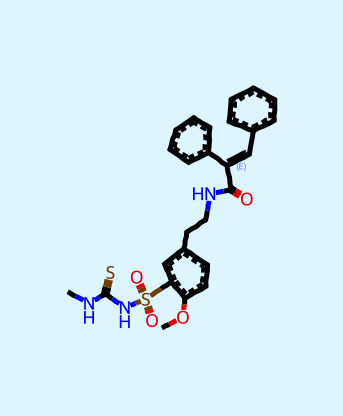 CNC(=S)NS(=O)(=O)c1cc(CCNC(=O)/C(=C/c2ccccc2)c2ccccc2)ccc1OC